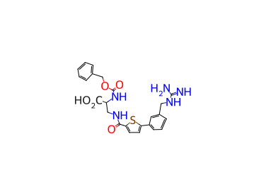 N=C(N)NCc1cccc(-c2ccc(C(=O)NCC(NC(=O)OCc3ccccc3)C(=O)O)s2)c1